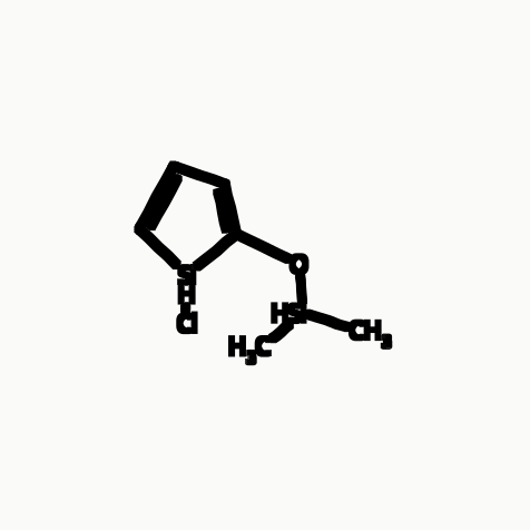 C[SiH](C)OC1=CC=C[SiH]1Cl